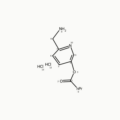 CCCC(=O)Oc1ccc(CN)nc1.Cl.Cl